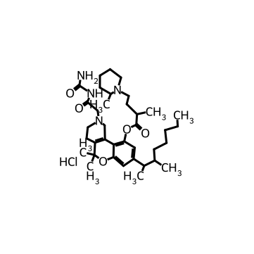 CCCCCC(C)C(C)c1cc(OC(=O)C(C)CCN2CCCCC2C)c2c(c1)OC(C)(C)C1=C2CN(CC(=O)NC(N)=O)CC1.Cl